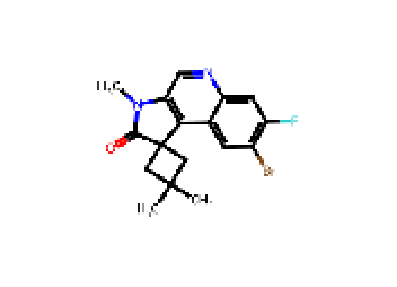 CN1C(=O)C2(CC(C)(C)C2)c2c1cnc1cc(F)c(Br)cc21